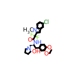 Cn1c(C(F)(F)C(=O)N[C@H](CN2CCCC2)[C@H](O)c2ccc3c(c2)OCCO3)cc2cc(Cl)ccc21